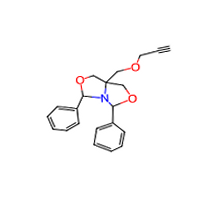 C#CCOCC12COC(c3ccccc3)N1C(c1ccccc1)OC2